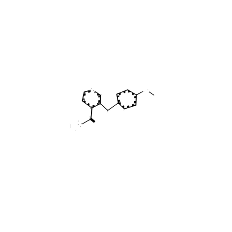 COc1ccc(Cc2cnccc2C(N)=O)cc1